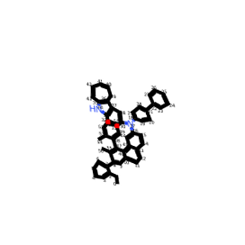 CCc1ccccc1-c1cc2ccc3ccc(N(c4ccc(-c5ccccc5)cc4)c4ccc5[nH]c6c(c5c4)CC=CC=C6)cc3c2c(-c2ccccc2C)c1C